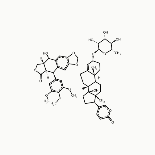 COc1cc([C@@H]2c3cc4c(cc3[C@H](O)[C@H]3COC(=O)[C@H]23)OCO4)cc(OC)c1OC.C[C@@H]1O[C@@H](O[C@@H]2C=C3CC[C@@H]4[C@H](CC[C@]5(C)[C@@H](c6ccc(=O)oc6)CC[C@]45O)[C@@]3(C)CC2)[C@H](O)[C@H](O)[C@H]1O